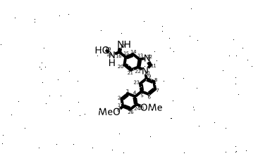 COc1ccc(-c2cccc(-n3cnc4cc(C(=N)NO)ccc43)c2)c(OC)c1